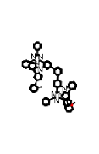 Cc1ccccc1-c1ccc2c(c1)c1ccccc1n2-c1cc(-c2cccc(-c3ccc(-c4nc(-c5ccccc5)nc(-c5ccccc5)n4)c(-n4c5ccccc5c5cc(-c6ccccc6C)ccc54)c3)c2)ccc1-c1nc(-c2ccccc2)nc(-c2ccccc2)n1